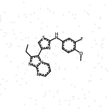 CCc1nc2ncccn2c1-c1csc(Nc2ccc(OC)c(F)c2)n1